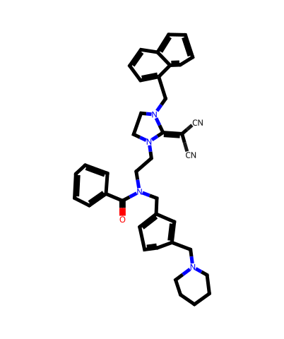 N#CC(C#N)=C1N(CCN(Cc2cccc(CN3CCCCC3)c2)C(=O)c2ccccc2)CCN1Cc1cccc2ccccc12